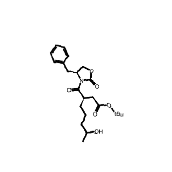 CC(O)CCC[C@H](CC(=O)OC(C)(C)C)C(=O)N1C(=O)OC[C@@H]1Cc1ccccc1